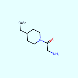 COCC1CCN(C(=O)CN)CC1